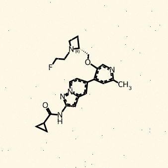 Cc1cc(-c2ccn3nc(NC(=O)C4CC4)cc3c2)c(OC[C@H]2CCN2CCF)cn1